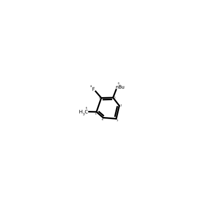 CCCCc1cccc(C)c1F